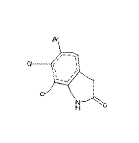 O=C1Cc2cc(Br)c(Cl)c(Cl)c2N1